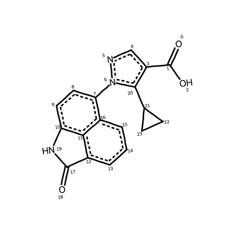 O=C(O)c1cnn(-c2ccc3c4c(cccc24)C(=O)N3)c1C1CC1